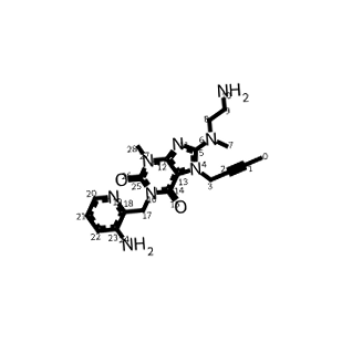 CC#CCn1c(N(C)CCN)nc2c1c(=O)n(Cc1ncccc1N)c(=O)n2C